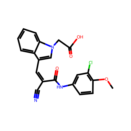 COc1ccc(NC(=O)C(C#N)=Cc2cn(CC(=O)O)c3ccccc23)cc1Cl